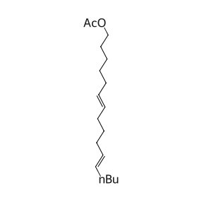 CCCCC=CCCCC=CCCCCCOC(C)=O